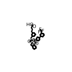 O=C(O)CCCc1cccc(CNC(=O)[C@@H]2Cc3ccccc3N2S(=O)(=O)c2ccc(-c3cccc(C(F)(F)F)c3)cc2)c1